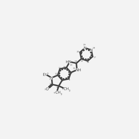 CCN1C(=O)C(C)(C)c2cc3c(cc21)NC(c1ccnnc1)N3